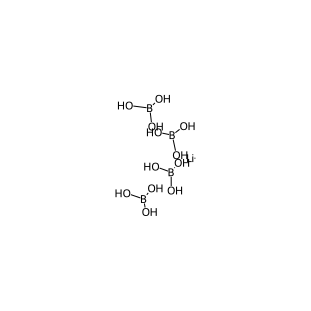 OB(O)O.OB(O)O.OB(O)O.OB(O)O.[Li]